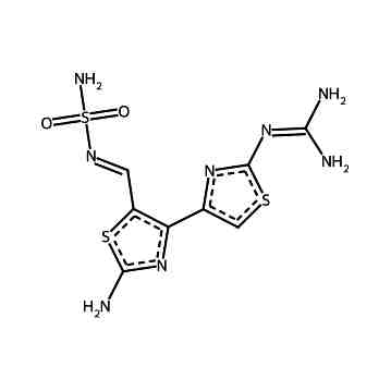 NC(N)=Nc1nc(-c2nc(N)sc2/C=N/S(N)(=O)=O)cs1